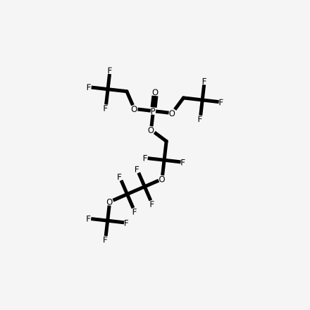 O=P(OCC(F)(F)F)(OCC(F)(F)F)OCC(F)(F)OC(F)(F)C(F)(F)OC(F)(F)F